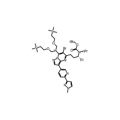 CCCN(C(=O)OC(C)(C)C)[C@H](CC)CCc1nc2c(-c3ccc(-c4ccn(C)n4)nc3)cnn2c(N(COCC[Si](C)(C)C)COCC[Si](C)(C)C)c1Br